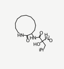 CC(C)CC(O)([PH2]=O)C(=O)NC1CCCCCCCCCCNC1=O